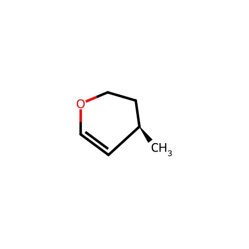 C[C@H]1C=COCC1